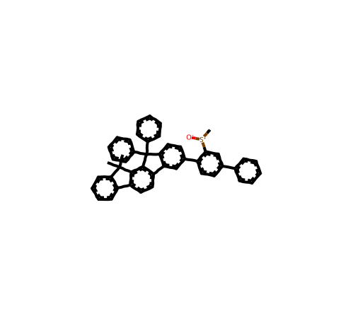 C[S+]([O-])c1cc(-c2ccccc2)ccc1-c1ccc2c(c1)-c1ccc3c(c1C2(c1ccccc1)c1ccccc1)C(C)(C)c1ccccc1-3